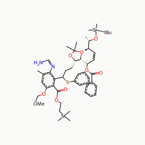 COCOc1cc(C)c(/N=C\N)c(C(CC[C@@H]2OC(C)(C)O[C@@H]2C(/C=C\[C@@H](C)[C@H](C)O[Si](C)(C)C(C)(C)C)OC(=O)c2ccccc2)Sc2ccccc2)c1C(=O)OCC[Si](C)(C)C